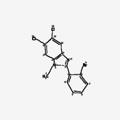 Cn1c(-c2ccccc2Br)nc2cc(Cl)c(Cl)cc21